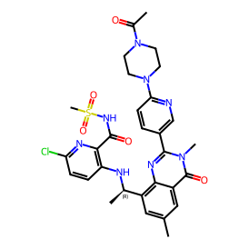 CC(=O)N1CCN(c2ccc(-c3nc4c([C@@H](C)Nc5ccc(Cl)nc5C(=O)NS(C)(=O)=O)cc(C)cc4c(=O)n3C)cn2)CC1